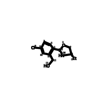 CCC1COB(c2ccc(Cl)cc2CO)N1